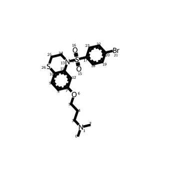 CN(C)CCCOc1ccc2c(c1)N(S(=O)(=O)c1ccc(Br)cc1)CCS2